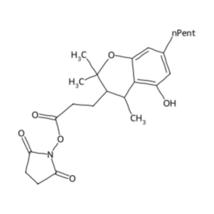 CCCCCc1cc(O)c2c(c1)OC(C)(C)C(CCC(=O)ON1C(=O)CCC1=O)C2C